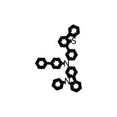 c1ccc(-c2ccc(N(c3cccc(-c4cccc5c4sc4ccccc45)c3)c3ccc4c5ccccc5n(-c5ccccc5)c4c3)cc2)cc1